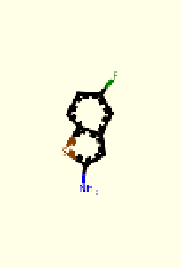 Nc1cc2cc(F)ccc2s1